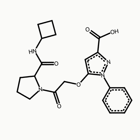 O=C(O)c1cc(OCC(=O)N2CCCC2C(=O)NC2CCC2)n(-c2ccccc2)n1